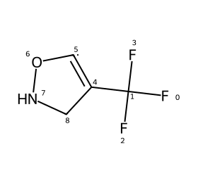 FC(F)(F)C1=[C]ONC1